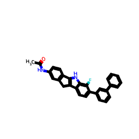 CC(=O)Nc1ccc2c(c1)Cc1c-2[nH]c2c(F)c(-c3cccc(-c4ccccc4)c3)ccc12